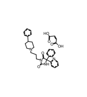 O=C(O)/C=C\C(=O)O.O=C1NC(c2ccccc2)(c2ccccn2)C(=O)N1CCCN1CCC(c2ccccc2)CC1